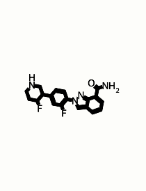 NC(=O)c1cccc2cn(-c3ccc(C4CNCCC4F)cc3F)nc12